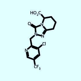 O=C(O)C1CCCc2nn(Cc3ncc(C(F)(F)F)cc3Cl)c(=O)n21